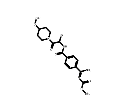 CCCCOC(=O)/N=C(\N)c1ccc(C(=O)NC(CC)C(=O)N2CCC(OOC(C)=O)CC2)cc1